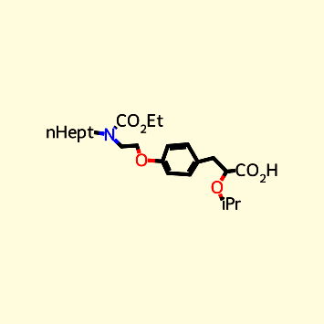 CCCCCCCN(CCOc1ccc(CC(OC(C)C)C(=O)O)cc1)C(=O)OCC